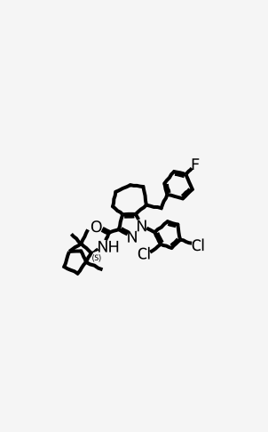 CC12CCC(C1)C(C)(C)[C@H]2NC(=O)c1nn(-c2ccc(Cl)cc2Cl)c2c1CCCCC2Cc1ccc(F)cc1